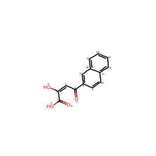 O=C(O)/C(O)=C\C(=O)c1ccc2ccccc2c1